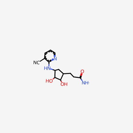 N#Cc1cccnc1NC1CC(CCC([NH])=O)C(O)C1O